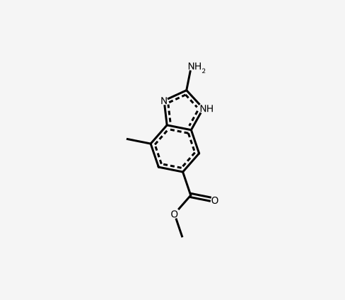 COC(=O)c1cc(C)c2nc(N)[nH]c2c1